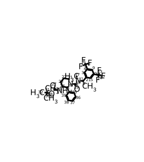 C[C@H](c1cc(C(F)(F)F)cc(C(F)(F)F)c1)N(C)C(=O)N1CCCC(NC(=O)OC(C)(C)C)[C@@H]1c1ccccc1